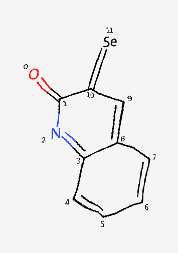 O=C1N=c2ccccc2=CC1=[Se]